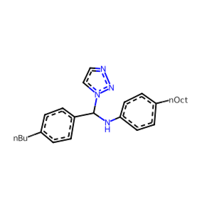 CCCCCCCCc1ccc(NC(c2ccc(CCCC)cc2)n2ccnn2)cc1